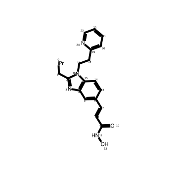 CC(C)Cc1nc2cc(C=CC(=O)NO)ccc2n1CCc1ccccn1